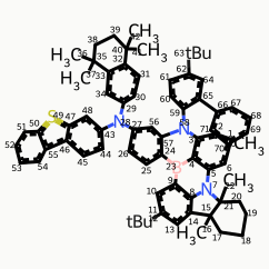 Cc1cc2c3c(c1)N1c4c(cc(C(C)(C)C)cc4C4(C)CCCCC14C)B3c1ccc(N(c3ccc4c(c3)C(C)(C)CCC4(C)C)c3ccc4c(c3)sc3ccccc34)cc1N2c1ccc(C(C)(C)C)cc1-c1ccccc1